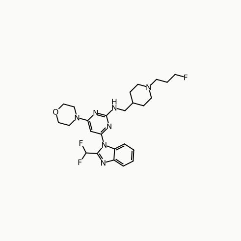 FCCCN1CCC(CNc2nc(N3CCOCC3)cc(-n3c(C(F)F)nc4ccccc43)n2)CC1